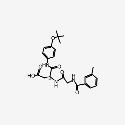 Cc1cccc(C(=O)NCC(=O)N[C@@H](CC(=O)O)C(=O)Nc2ccc(OC(C)(C)C)cc2)c1